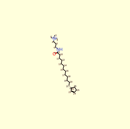 C[N+](C)(C)CCCNC(=O)CCCCCCCCCCCC[C@H]1C=CCC1